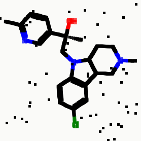 Cc1ccc([C@@](C)(O)CN2c3ccc(Cl)cc3C3CN(C)CCC32)cn1